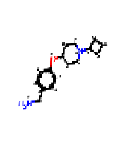 NCc1ccc(OC2CCN(C3CCC3)CC2)cc1